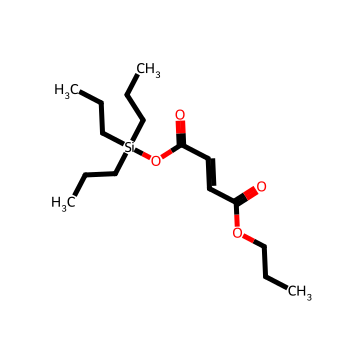 CCCOC(=O)/C=C/C(=O)O[Si](CCC)(CCC)CCC